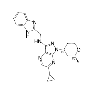 C[C@H]1C[C@H](n2nc(NCc3nc4ccccc4[nH]3)c3ncc(C4CC4)nc32)CCO1